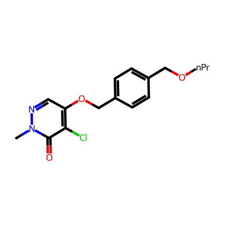 CCCOCc1ccc(COc2cnn(C)c(=O)c2Cl)cc1